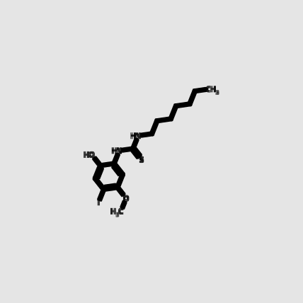 CCCCCCCNC(=S)Nc1cc(OC)c(I)cc1O